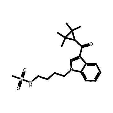 CC1(C)C(C(=O)c2cn(CCCCNS(C)(=O)=O)c3ccccc23)C1(C)C